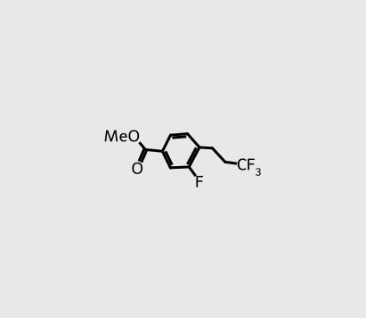 COC(=O)c1ccc(CCC(F)(F)F)c(F)c1